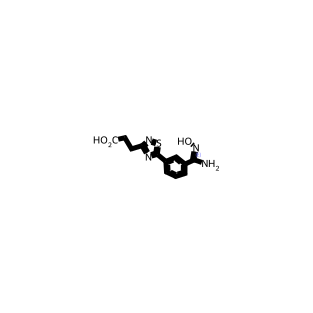 N/C(=N/O)c1cccc(-c2nc(CCC(=O)O)ns2)c1